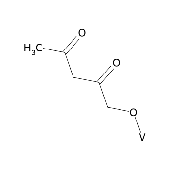 CC(=O)CC(=O)C[O][V]